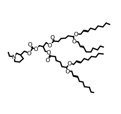 CCCCCC/C=C/COC(CCCCC(=O)OCC(COC(=O)CCCCC(OC/C=C/CCCCCC)OC/C=C/CCCCCC)COC(=O)OCC1CCCN(CC)C1)OC/C=C/CCCCCC